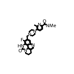 CNC(=O)c1ccc(N2CCN(Cc3cc4ncc5c6c4c(c3F)NC(=O)N6CCC5)CC2)c(C)n1